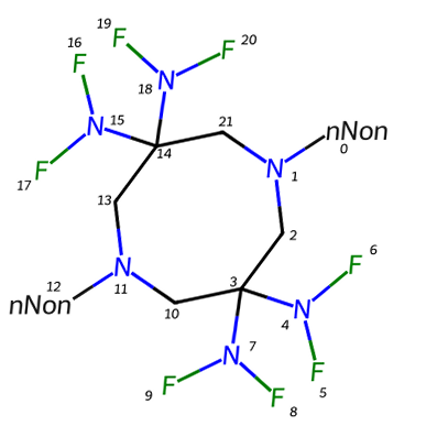 CCCCCCCCCN1CC(N(F)F)(N(F)F)CN(CCCCCCCCC)CC(N(F)F)(N(F)F)C1